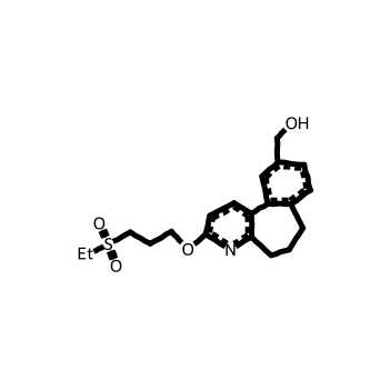 CCS(=O)(=O)CCCOc1ccc2c(n1)CCCc1ccc(CO)cc1-2